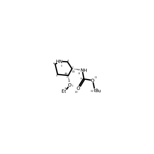 CCO[C@@H]1CCNC[C@@H]1NC(=O)OC(C)(C)C